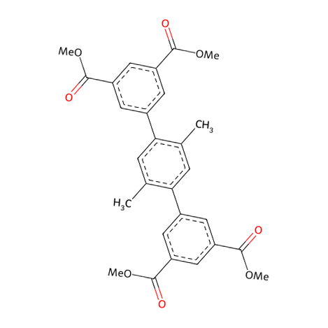 COC(=O)c1cc(C(=O)OC)cc(-c2cc(C)c(-c3cc(C(=O)OC)cc(C(=O)OC)c3)cc2C)c1